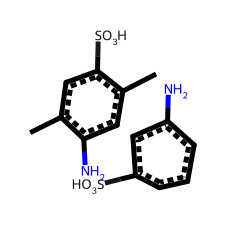 Cc1cc(S(=O)(=O)O)c(C)cc1N.Nc1cccc(S(=O)(=O)O)c1